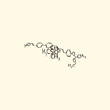 CCOC(C)Oc1ccc(C=CC(=Cc2ccc(-c3ccc(C=CO)cc3)cc2)O[Si](C)(C)C)cc1